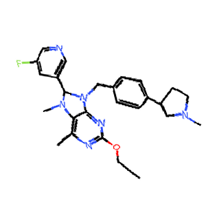 CCOc1nc(C)c2c(n1)N(Cc1ccc(C3CCN(C)C3)cc1)C(c1cncc(F)c1)N2C